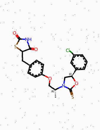 C[C@H](COc1ccc(CC2SC(=O)NC2=O)cc1)N1C[C@@H](c2cccc(Cl)c2)OC1=S